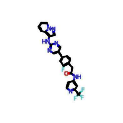 O=C(Cc1ccc(-c2cnc(Nc3cnn4ccccc34)nc2)cc1F)Nc1ccnc(C(F)(F)F)c1